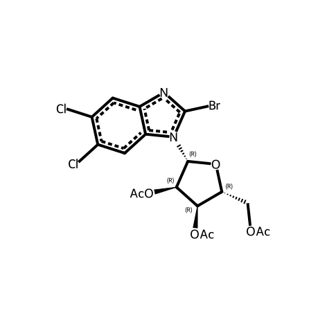 CC(=O)OC[C@H]1O[C@@H](n2c(Br)nc3cc(Cl)c(Cl)cc32)[C@H](OC(C)=O)[C@@H]1OC(C)=O